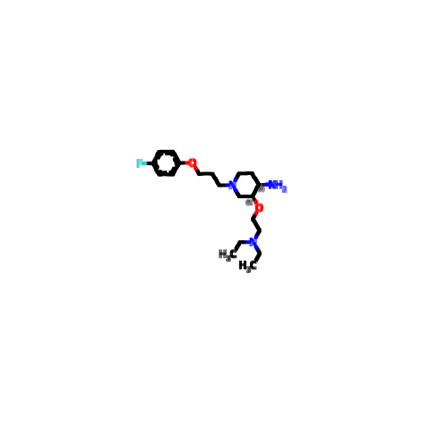 CCN(CC)CCO[C@H]1CN(CCCOc2ccc(F)cc2)CC[C@H]1N